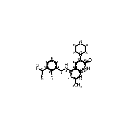 Cc1nc(NCc2cccc(C(F)F)c2F)c2cc(N3CCOCC3)c(=O)[nH]c2n1